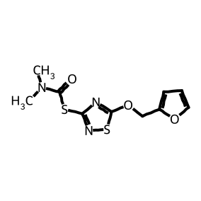 CN(C)C(=O)Sc1nsc(OCc2ccco2)n1